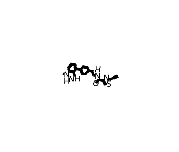 C#Cc1nc(C(=O)NCCc2ccc(-c3cccc(NC)c3C=N)cc2)cs1